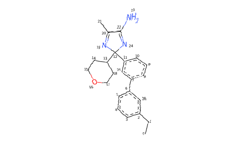 CCc1cccc(-c2cccc(C3(C4CCOCC4)N=C(C)C(N)=N3)c2)c1